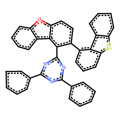 c1ccc(-c2nc(-c3ccccc3)nc(-c3c(-c4cccc5sc6ccccc6c45)ccc4oc5ccccc5c34)n2)cc1